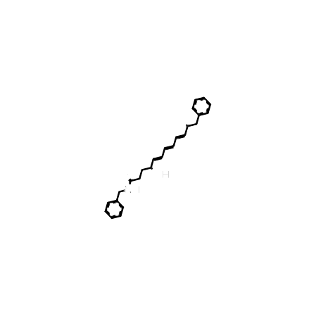 O=C(CCC(O)C=CC=CC=CC(O)Cc1ccccc1)NCc1ccccc1